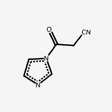 N#CCC(=O)n1ccnc1